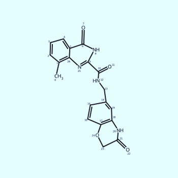 Cc1cccc2c(=O)[nH]c(C(=O)NCc3ccc4c(c3)NC(=O)CO4)nc12